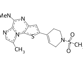 CNc1nc2cc(C3=CCN(S(C)(=O)=O)CC3)sc2n2c(C)cnc12